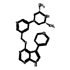 C[C@@H]1CN(c2cncc(COc3ncnc4[nH]cc(C5=CCOCC5)c34)c2)C[C@H](C)N1